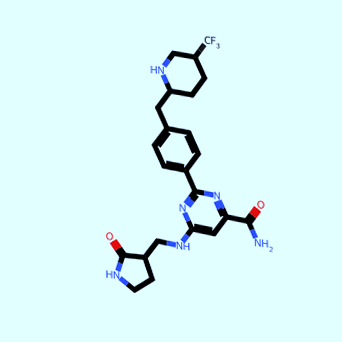 NC(=O)c1cc(NCC2CCNC2=O)nc(-c2ccc(CC3CCC(C(F)(F)F)CN3)cc2)n1